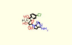 CC(O)(c1ccc(Cl)cc1)[C@H]1O[C@@H](n2ccc3c(N)ncnc32)[C@H](O)[C@@H]1O